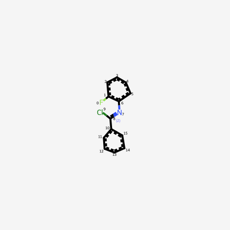 Fc1ccccc1/N=C(\Cl)c1ccccc1